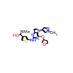 CNC(O)c1csc(Nc2nc(O[C@H]3CCOC3)c3c(ccn3-c3cnn(C)c3)n2)c1